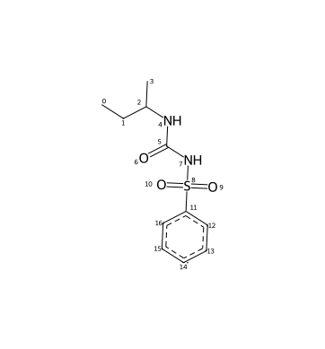 CCC(C)NC(=O)NS(=O)(=O)c1cc[c]cc1